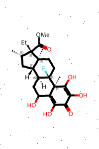 CC[C@]1(C(=O)OC)[C@@H](C)C[C@H]2[C@@H]3CC(O)C4=C(O)C(=O)C(O)=C(O)[C@]4(C)[C@@]3(F)CC[C@@]21C